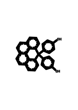 Oc1ccc(C2(c3ccc(O)cc3)c3cccc4ccc5ccc6cccc2c6c5c34)cc1